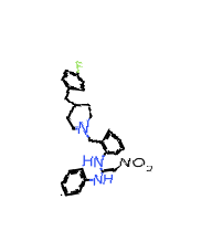 O=[N+]([O-])C=C(Nc1c[c]ccc1)Nc1ccccc1CN1CCC(Cc2ccc(F)cc2)CC1